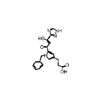 O=C(O)CCc1cc(C(=O)C=C(O)c2nc[nH]n2)n(Cc2ccccc2)c1